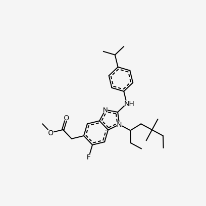 CCC(CC(C)(C)CC)n1c(Nc2ccc(C(C)C)cc2)nc2cc(CC(=O)OC)c(F)cc21